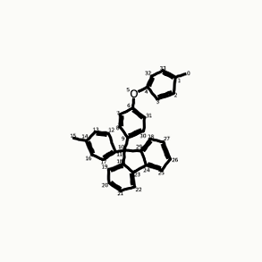 Cc1ccc(Oc2ccc(C3(c4ccc(C)cc4)c4ccccc4-c4ccccc43)cc2)cc1